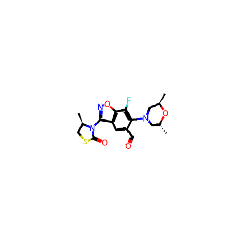 C[C@@H]1CN(c2c(C=O)cc3c(N4C(=O)SC[C@H]4C)noc3c2F)C[C@@H](C)O1